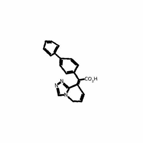 O=C(O)C(=C1C=CCn2cnnc21)c1ccc(-c2ccccc2)cc1